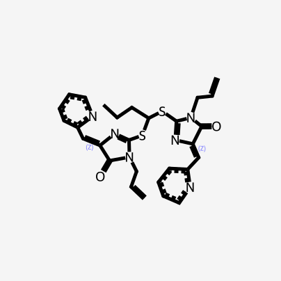 C=CCN1C(=O)/C(=C/c2ccccn2)N=C1SC(CCC)SC1=N/C(=C\c2ccccn2)C(=O)N1CC=C